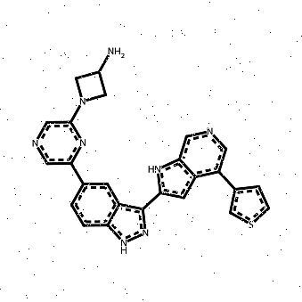 NC1CN(c2cncc(-c3ccc4[nH]nc(-c5cc6c(-c7ccsc7)cncc6[nH]5)c4c3)n2)C1